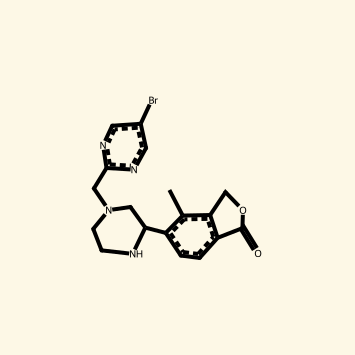 Cc1c(C2CN(Cc3ncc(Br)cn3)CCN2)ccc2c1COC2=O